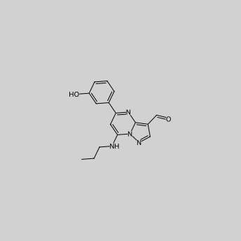 CCCNc1cc(-c2cccc(O)c2)nc2c(C=O)cnn12